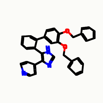 c1ccc(COc2ccc(-c3ccccc3-c3[nH]cnc3-c3ccncc3)cc2OCc2ccccc2)cc1